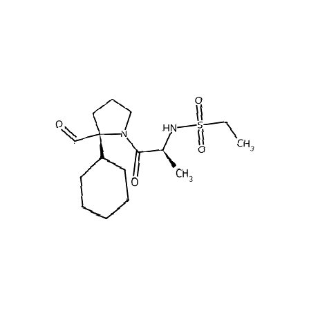 CCS(=O)(=O)N[C@@H](C)C(=O)N1CCC[C@]1([C]=O)C1CCCCC1